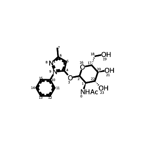 CC(=O)N[C@H]1C(Oc2cc(C)nn2-c2ccccc2)O[C@H](CO)[C@@H](O)[C@@H]1O